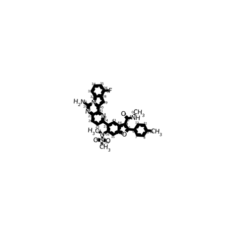 CNC(=O)c1c(-c2ccc(C)cc2)oc2cc(N(C)S(C)(=O)=O)c(-c3ccc4nc(N)n5c6cccc(F)c6cc5c4n3)cc12